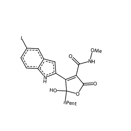 CCCCCC1(O)OC(=O)C(C(=O)NOC)=C1c1cc2cc(I)ccc2[nH]1